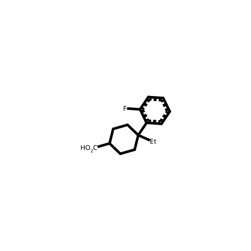 CCC1(c2ccccc2F)CCC(C(=O)O)CC1